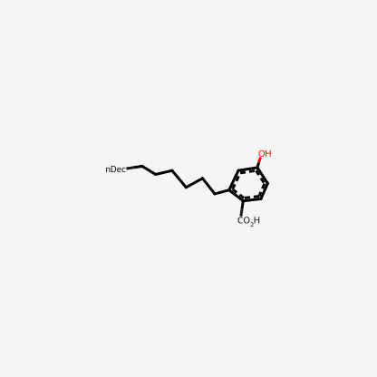 CCCCCCCCCCCCCCCCc1cc(O)ccc1C(=O)O